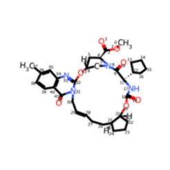 COC(=O)[C@@H]1C[C@@H]2CN1C(=O)[C@H](C1CCCC1)NC(=O)O[C@@H]1CCC[C@H]1CC/C=C/Cn1c(nc3cc(C)ccc3c1=O)O2